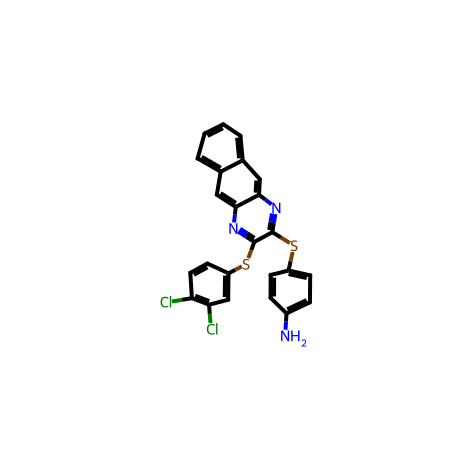 Nc1ccc(Sc2nc3cc4ccccc4cc3nc2Sc2ccc(Cl)c(Cl)c2)cc1